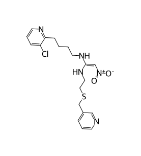 O=[N+]([O-])/C=C(/NCCCCc1ncccc1Cl)NCCSCc1cccnc1